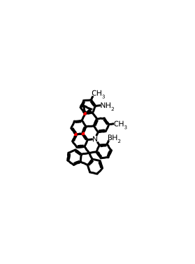 Bc1cccc2c1N(c1cc(C)cc(-c3cccc(C)c3N)c1-c1ccccc1C1CC1)c1ccccc1C21C2=C(CCC=C2)c2ccccc21